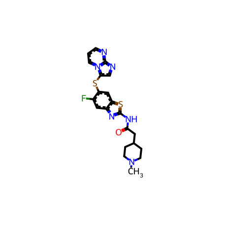 CN1CCC(CC(=O)Nc2nc3cc(F)c(Sc4cnc5ncccn45)cc3s2)CC1